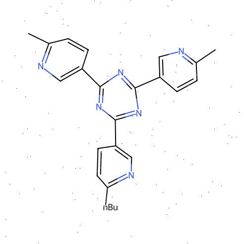 CCCCc1ccc(-c2nc(-c3ccc(C)nc3)nc(-c3ccc(C)nc3)n2)cn1